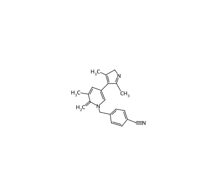 C=C1C(C)=CC(C2=C(C)CN=C2C)=CN1Cc1ccc(C#N)cc1